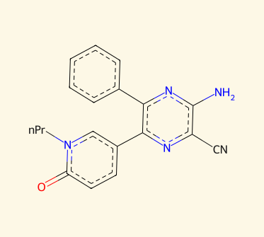 CCCn1cc(-c2nc(C#N)c(N)nc2-c2ccccc2)ccc1=O